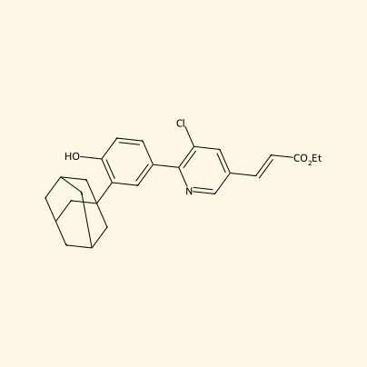 CCOC(=O)/C=C/c1cnc(-c2ccc(O)c(C34CC5CC(CC(C5)C3)C4)c2)c(Cl)c1